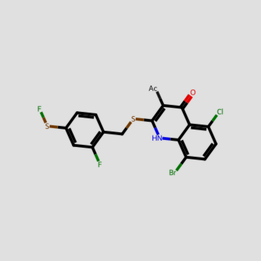 CC(=O)c1c(SCc2ccc(SF)cc2F)[nH]c2c(Br)ccc(Cl)c2c1=O